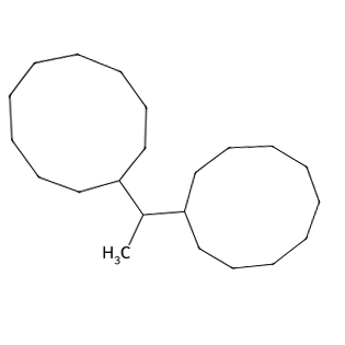 CC(C1CCCCCCCCC1)C1CCCCCCCCC1